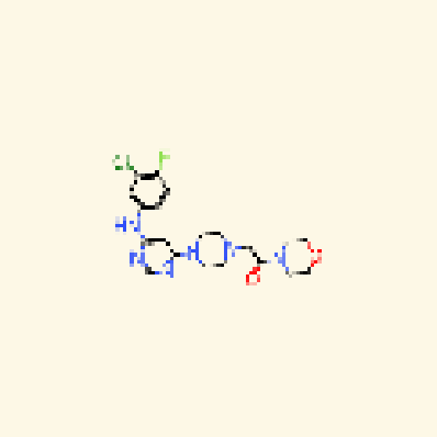 O=C(CN1CCN(c2cc(Nc3ccc(F)c(Cl)c3)ncn2)CC1)N1CCOCC1